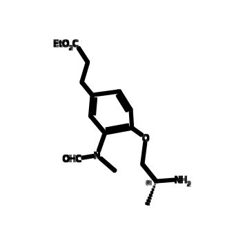 CCOC(=O)CCc1ccc(OC[C@@H](C)N)c(N(C)C=O)c1